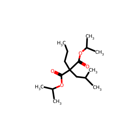 CCCC(CC(C)C)(C(=O)OC(C)C)C(=O)OC(C)C